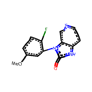 COc1ccc(F)c(-n2c(=O)[nH]c3ccncc32)c1